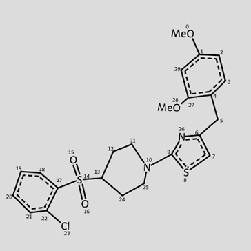 COc1ccc(Cc2csc(N3CCC(S(=O)(=O)c4ccccc4Cl)CC3)n2)c(OC)c1